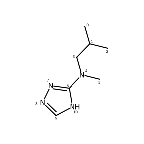 CC(C)CN(C)c1nnc[nH]1